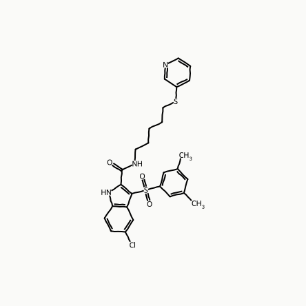 Cc1cc(C)cc(S(=O)(=O)c2c(C(=O)NCCCCCSc3cccnc3)[nH]c3ccc(Cl)cc23)c1